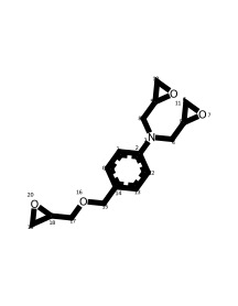 c1cc(N(CC2CO2)CC2CO2)ccc1COCC1CO1